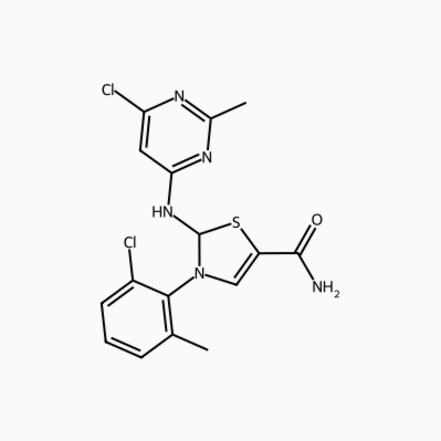 Cc1nc(Cl)cc(NC2SC(C(N)=O)=CN2c2c(C)cccc2Cl)n1